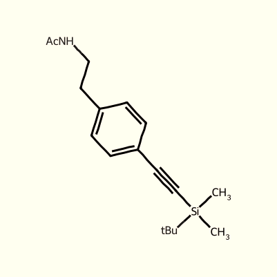 CC(=O)NCCc1ccc(C#C[Si](C)(C)C(C)(C)C)cc1